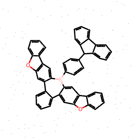 c1ccc2c(c1)-c1cc3oc4ccccc4c3cc1B(c1ccc(C3c4ccccc4-c4ccccc43)cc1)c1cc3c(cc1-2)oc1ccccc13